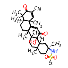 CCS(=O)(=O)N[C@@]1(C)CC[C@]2(C)CC[C@@]3(C)[C@]4(C)CC[C@H]5C(C)(C)C(=O)C(C#N)=C[C@]5(C)C4=CC(=O)[C@]3(O)[C@@H]2C1